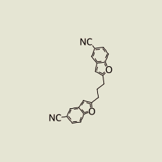 N#Cc1ccc2oc(CCCc3cc4cc(C#N)ccc4o3)cc2c1